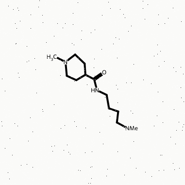 CNCCCCNC(=O)C1CCN(C)CC1